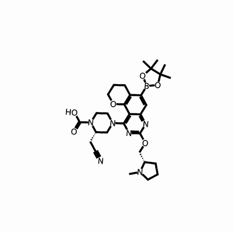 CN1CCC[C@H]1COc1nc(N2CCN(C(=O)O)[C@@H](CC#N)C2)c2c3c(c(B4OC(C)(C)C(C)(C)O4)cc2n1)CCCO3